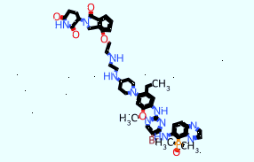 CCc1cc(Nc2ncc(Br)c(Nc3ccc4nccnc4c3P(C)(C)=O)n2)c(OC)cc1N1CCC(NCCNCCOc2cccc3c2CN(C2CCC(=O)NC2=O)C3=O)CC1